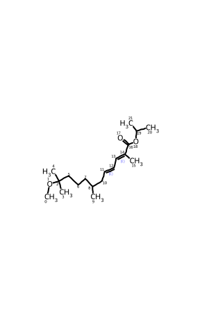 COC(C)(C)CCCC(C)C/C=C/C=C(\C)C(=O)OC(C)C